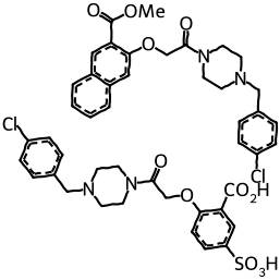 COC(=O)c1cc2ccccc2cc1OCC(=O)N1CCN(Cc2ccc(Cl)cc2)CC1.O=C(O)c1cc(S(=O)(=O)O)ccc1OCC(=O)N1CCN(Cc2ccc(Cl)cc2)CC1